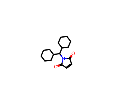 O=C1C=CC(=O)N1C(C1CCCCC1)C1CCCCC1